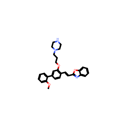 COc1ccccc1-c1ccc(C=Cc2nc3ccccc3o2)c(OCCCN2CCNCC2)c1